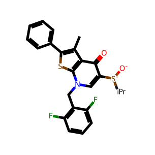 Cc1c(-c2ccccc2)sc2c1c(=O)c([S+]([O-])C(C)C)cn2Cc1c(F)cccc1F